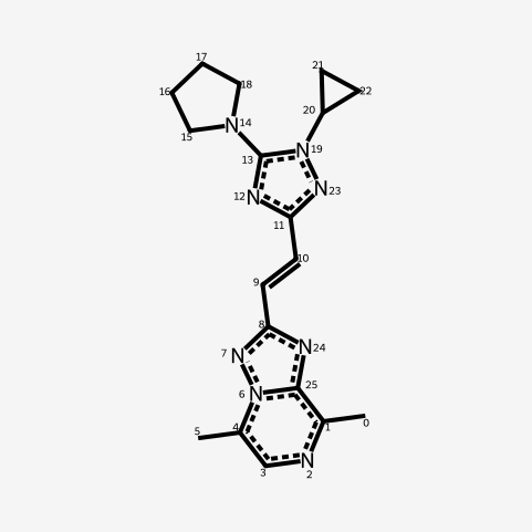 Cc1ncc(C)n2nc(C=Cc3nc(N4CCCC4)n(C4CC4)n3)nc12